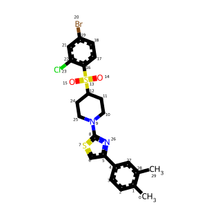 Cc1ccc(-c2csc(N3CCC(S(=O)(=O)c4ccc(Br)cc4Cl)CC3)n2)cc1C